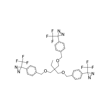 CCC(COCc1ccc(C2(C(F)(F)F)N=N2)cc1)(COCc1ccc(C2(C(F)(F)F)N=N2)cc1)COCc1ccc(C2(C(F)(F)F)N=N2)cc1